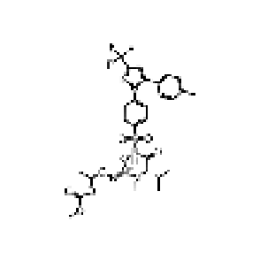 COC(=O)OC(C)ON=[N+]([O-])N(C)[C@H](C(=O)NS(=O)(=O)c1ccc(-n2nc(C(F)(F)F)cc2-c2ccc(C)cc2)cc1)C(C)C